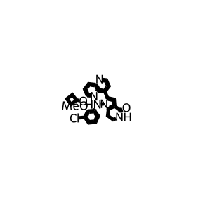 COc1c(Cl)cccc1Nn1c(-c2ccnc3ccc(OC4CCC4)nc23)cc2c1CCNC2=O